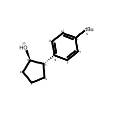 CC(C)(C)c1ccc([C@@H]2CCC[C@H]2O)cc1